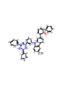 N#Cc1ccc2c(c1)c1ccc(-c3cccc4c3oc3ccccc34)cc1n2-c1cccc(C2N=C(c3ccccc3)NC(c3ccccc3)N2)c1